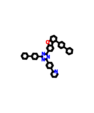 c1ccc(-c2ccc(-c3nc(-c4ccc(-c5ccccn5)cc4)nc(-c4ccc5c(c4)oc4cccc(-c6ccc(-c7ccccc7)cc6)c45)n3)cc2)cc1